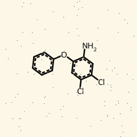 Nc1cc(Cl)c(Cl)cc1Oc1ccccc1